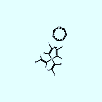 FC(F)=C(F)[B-](C(F)=C(F)F)(C(F)=C(F)F)C(F)=C(F)F.c1ccc[cH+]cc1